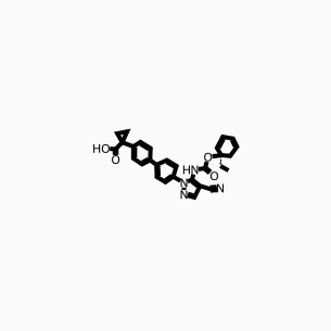 CC[C@]1(OC(=O)Nc2c(C#N)cnn2-c2ccc(-c3ccc(C4(C(=O)O)CC4)cc3)cc2)C=CC=CC1